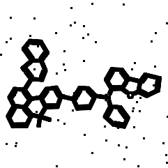 CC1(C)c2cc(-c3ccc(N(c4ccccc4)c4cccc5c4oc4ccccc45)cc3)ccc2-c2c(-c3ccc4ccccc4c3)ccc3cccc1c23